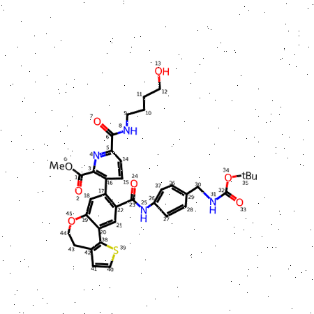 COC(=O)c1nc(C(=O)NCCCCO)ccc1-c1cc2c(cc1C(=O)Nc1ccc(CNC(=O)OC(C)(C)C)cc1)-c1sccc1CCO2